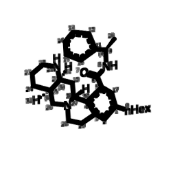 CCCCCCc1cc2c(c(C(=O)N[C@H](C)c3ccccc3)c1)[C@H]1C[C@@H]3NCCC[C@@H]3CN1CC2